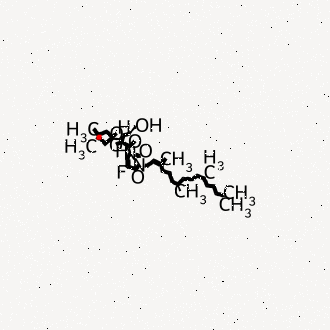 CCCC1(CCC)O[C@@H]2[C@H](O1)[C@@H](CO)O[C@H]2n1cc(F)c(=O)n(CC=C(C)CCC[C@H](C)CCC[C@H](C)CCCC(C)C)c1=O